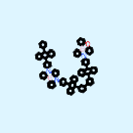 c1ccc(-c2c3ccccc3c(-c3ccc(N4c5ccccc5B5c6ccccc6N(c6ccc(-c7c8ccccc8c(-c8cccc(-c9cccc(-c%10c%11ccccc%11c(-c%11ccc(N%12c%13ccccc%13B%13c%14ccccc%14Oc%14cccc%12c%14%13)cc%11)c%11ccccc%10%11)c9)c8)c8ccccc78)cc6)c6cccc4c65)cc3)c3ccccc23)cc1